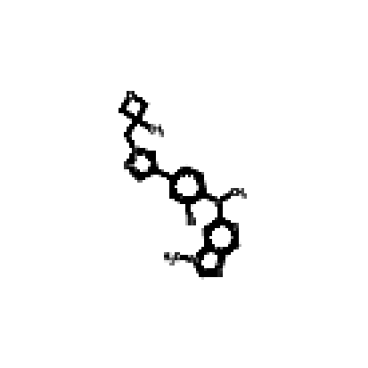 CCc1cc(-c2cnn(CC3(C)COC3)c2)ccc1N(C)c1cc2c(cn1)ncn2C